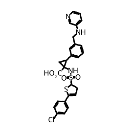 O=C(O)C1(NS(=O)(=O)C2CC=C(c3ccc(Cl)cc3)S2)CC1c1cccc(CNc2cccnc2)c1